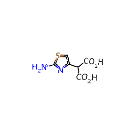 Nc1nc(C(C(=O)O)C(=O)O)cs1